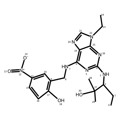 CCC(Nc1nc(NCc2cc([N+](=O)[O-])ccc2O)c2ncn(CC)c2n1)C(C)(C)O